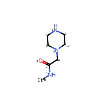 CCNC(=O)[CH]N1CCNCC1